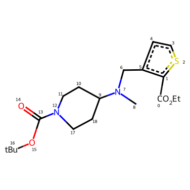 CCOC(=O)c1sccc1CN(C)C1CCN(C(=O)OC(C)(C)C)CC1